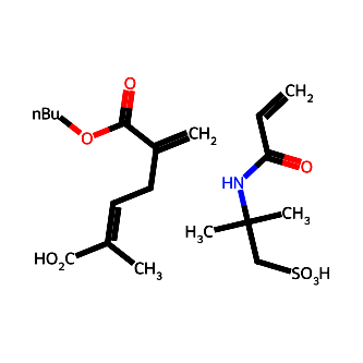 C=C(CC=C(C)C(=O)O)C(=O)OCCCC.C=CC(=O)NC(C)(C)CS(=O)(=O)O